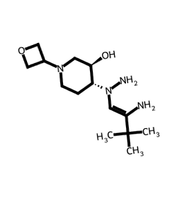 CC(C)(C)/C(N)=C/N(N)[C@@H]1CCN(C2COC2)C[C@H]1O